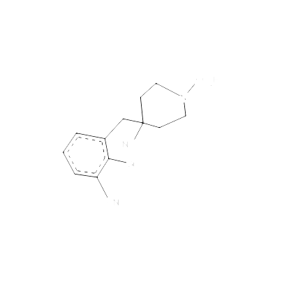 N#Cc1cccc(CC2(C#N)CCN(C(=O)O)CC2)c1Br